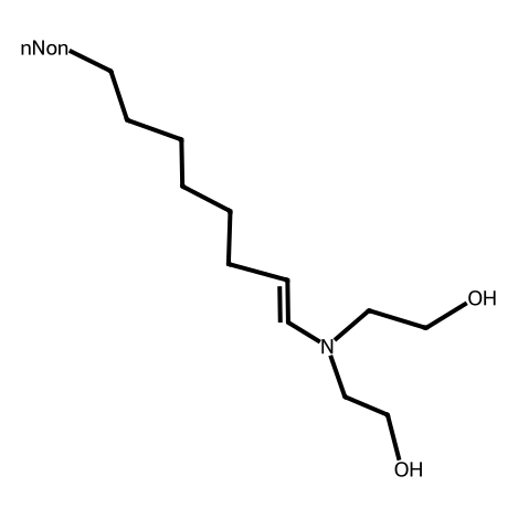 CCCCCCCCCCCCCCC/C=C/N(CCO)CCO